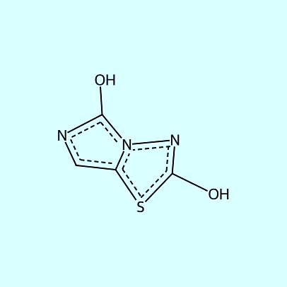 Oc1nn2c(O)ncc2s1